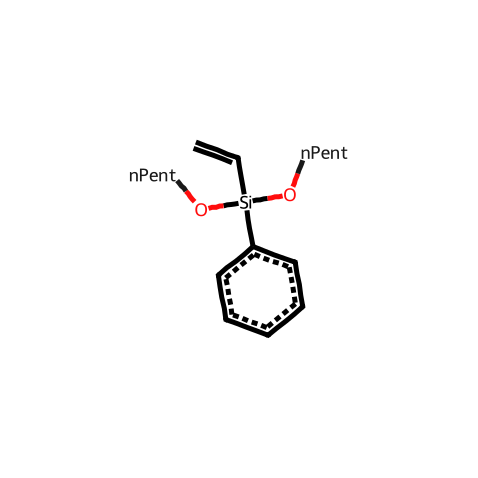 C=C[Si](OCCCCC)(OCCCCC)c1ccccc1